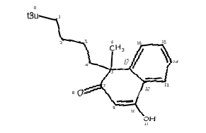 CC(C)(C)CCCCC1(C)C(=O)C=C(O)c2ccccc21